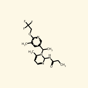 CCC(=O)NC1N=CC=C(C)N1C(C)c1cnc(OCC(F)(F)F)c(C)c1